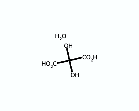 O.O=C(O)C(O)(O)C(=O)O